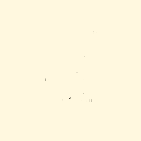 Cc1c(C)c(O[Si](C)(C)C)c(CBr)c2c1O[C@](C)(CCC[C@H](C)CCC[C@H](C)CCCC(C)C)CC2